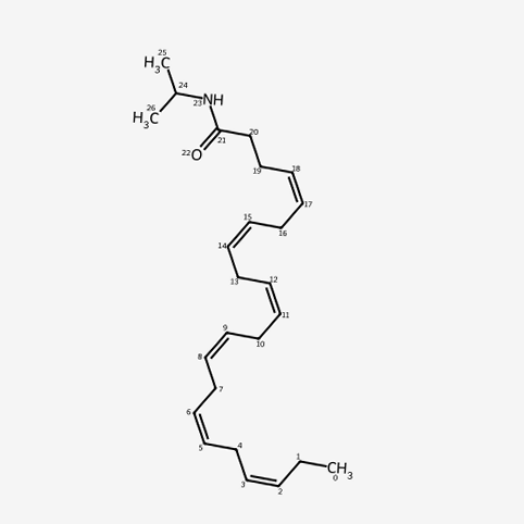 CC/C=C\C/C=C\C/C=C\C/C=C\C/C=C\C/C=C\CCC(=O)NC(C)C